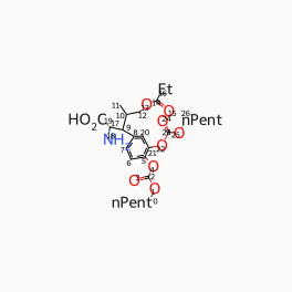 CCCCCOC(=O)Oc1ccc(C(C(C)COC(=O)CC)[C@H](N)C(=O)O)cc1OC(=O)OCCCCC